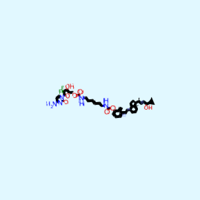 C=C1/C(=C\C=C2/CCC[C@@]3(C)C2CCC3[C@@H](C)/C=C/C(O)C2CC2)CCC[C@@H]1OC(=O)NCCCCCCNC(=O)OCC1OC(n2ccc(N)nc2=O)C(F)(F)C1O